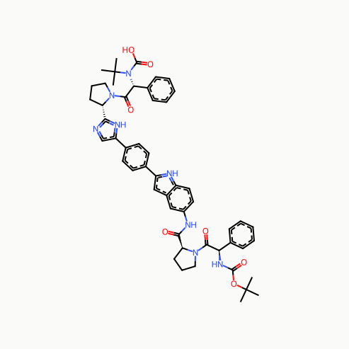 CC(C)(C)OC(=O)N[C@@H](C(=O)N1CCC[C@H]1C(=O)Nc1ccc2[nH]c(-c3ccc(-c4cnc([C@@H]5CCCN5C(=O)[C@@H](c5ccccc5)N(C(=O)O)C(C)(C)C)[nH]4)cc3)cc2c1)c1ccccc1